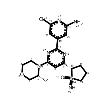 C[C@@H]1COCCN1c1cc([C@@H]2CCCS2(=N)=O)nc(-c2cc(N)nc(Cl)c2)n1